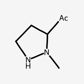 CC(=O)C1CCNN1C